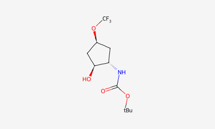 CC(C)(C)OC(=O)N[C@H]1C[C@H](OC(F)(F)F)C[C@@H]1O